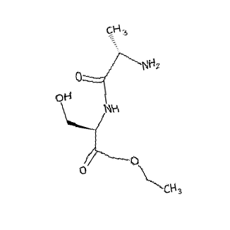 CCOC(=O)[C@@H](CO)NC(=O)[C@H](C)N